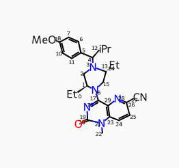 CC[C@H]1CN(C(c2ccc(OC)cc2)C(C)C)[C@H](CC)CN1c1nc(=O)n(C)c2ccc(C#N)nc12